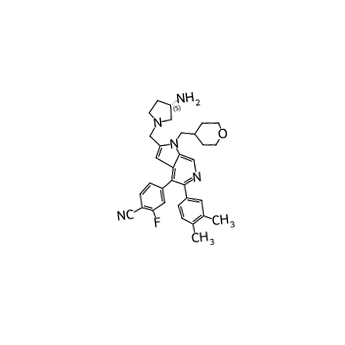 Cc1ccc(-c2ncc3c(cc(CN4CC[C@H](N)C4)n3CC3CCOCC3)c2-c2ccc(C#N)c(F)c2)cc1C